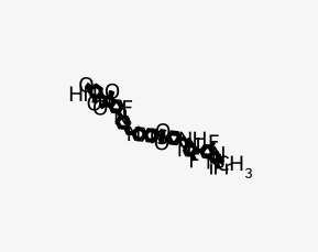 Cc1nc2c(F)cc(-c3nc(Nc4ccc(S(=O)(=O)N5CCC6(CCN(CC7CCN(c8cc9c(cc8F)C(=O)N(C8CCC(=O)NC8=O)C9=O)CC7)CC6)CC5)cc4)ncc3F)cc2n1C(C)C